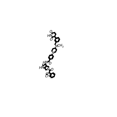 CO[C@@H](C(=O)N1Cc2[nH]nc(NC(=O)c3ccc(N4CCC(N(C)Cc5cccc(C6CCC(=O)NC6=O)c5)CC4)cc3)c2C1)c1ccccc1